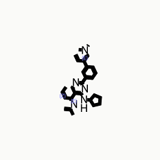 C=C/C(=C\N(C)C)c1cccc(-c2ncc(C(/C=C\C)=N/C(=C)C)c(NC3CCCC3)n2)c1